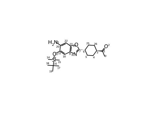 CC(=O)[C@H]1CC[C@H](c2nc3cc(O[Si](C)(C)C(C)(C)C)c(N)cc3o2)CC1